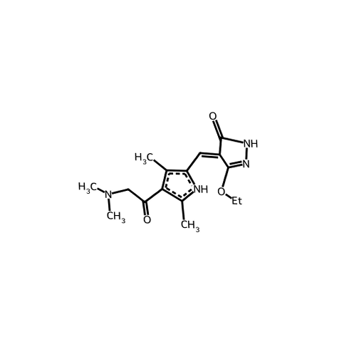 CCOC1=NNC(=O)/C1=C/c1[nH]c(C)c(C(=O)CN(C)C)c1C